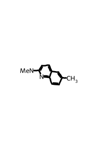 CNc1ccc2cc(C)ccc2n1